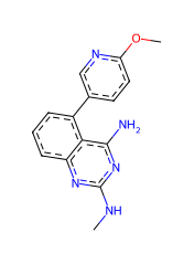 CNc1nc(N)c2c(-c3ccc(OC)nc3)cccc2n1